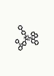 c1ccc(-c2ccc(-c3nc(-c4ccc5c6ccccc6n(-c6ccccc6)c5c4)nc(N4c5ccc6ccccc6c5-c5cccc6cccc4c56)n3)cc2)cc1